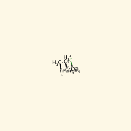 CCCCCC.CCOC(C)=O.ClC(Cl)(Cl)Cl